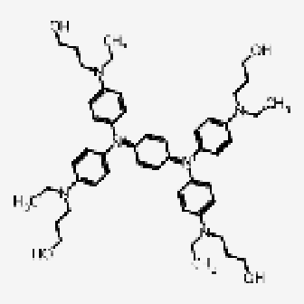 CCN(CCCO)c1ccc([N+](=C2C=CC(=[N+](c3ccc(N(CC)CCCO)cc3)c3ccc(N(CC)CCCO)cc3)C=C2)c2ccc(N(CC)CCCO)cc2)cc1